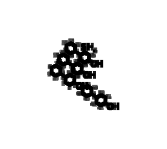 Oc1ccc(-c2ccccc2)cc1.Oc1ccc(-c2ccccc2)cc1.Oc1ccc(-c2ccccc2)cc1.Oc1ccc(-c2ccccc2)cc1.[SiH4]